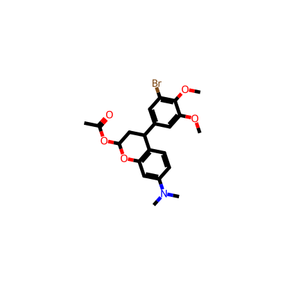 COc1cc(C2CC(OC(C)=O)Oc3cc(N(C)C)ccc32)cc(Br)c1OC